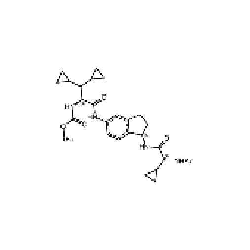 CC(=O)N[C@@H](C(=O)N[C@@H]1CCc2cc(NC(=O)[C@@H](NC(=O)OC(C)(C)C)C(C3CC3)C3CC3)ccc21)C1CC1